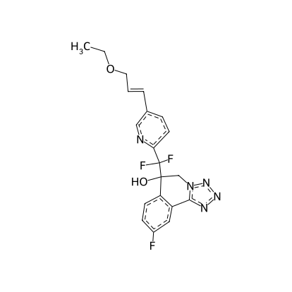 CCOC/C=C/c1ccc(C(F)(F)C2(O)Cn3nnnc3-c3cc(F)ccc32)nc1